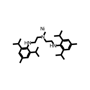 Cc1cc(C(C)C)c(NCCN(C)CCNc2c(C(C)C)cc(C)cc2C(C)C)c(C(C)C)c1.[Ni]